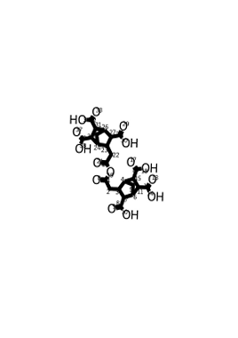 O=C(CC1C2CC(C1C(=O)O)C(C(=O)O)C2C(=O)O)OC(=O)CC1C2CC(C1C(=O)O)C(C(=O)O)C2C(=O)O